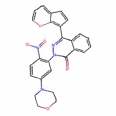 O=c1c2ccccc2c(-c2ccc3cccoc2-3)nn1-c1cc(N2CCOCC2)ccc1[N+](=O)[O-]